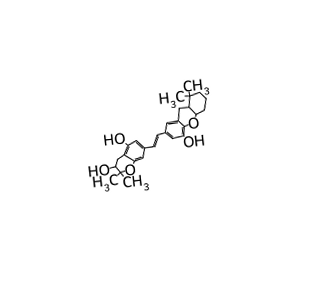 CC1(C)CCCC2Oc3c(O)cc(/C=C/c4cc(O)c5c(c4)OC(C)(C)C(O)C5)cc3CC21